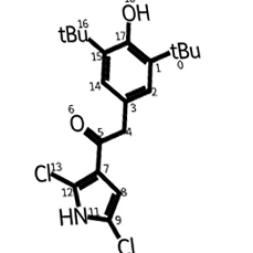 CC(C)(C)c1cc(CC(=O)c2cc(Cl)[nH]c2Cl)cc(C(C)(C)C)c1O